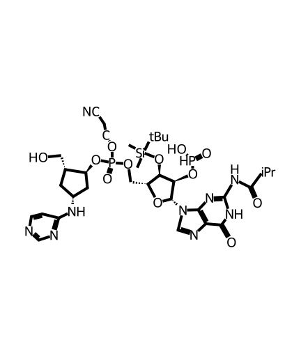 CC(C)C(=O)Nc1nc2c(ncn2[C@@H]2O[C@H](COP(=O)(OCCC#N)O[C@H]3C[C@H](Nc4ccncn4)C[C@@H]3CO)[C@@H](O[Si](C)(C)C(C)(C)C)[C@H]2O[PH](=O)O)c(=O)[nH]1